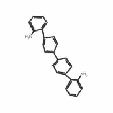 Nc1ccccc1-c1ccc(-c2ccc(-c3ccccc3N)cc2)cc1